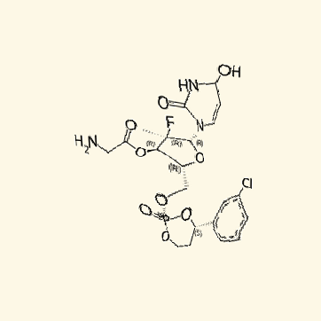 C[C@@]1(F)[C@H](OC(=O)CN)[C@@H](CO[P@@]2(=O)OCC[C@@H](c3cccc(Cl)c3)O2)O[C@H]1N1C=CC(O)NC1=O